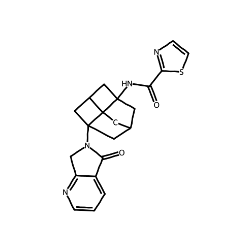 O=C(NC12CC3CC4(N5Cc6ncccc6C5=O)CC(C1)C24C3)c1nccs1